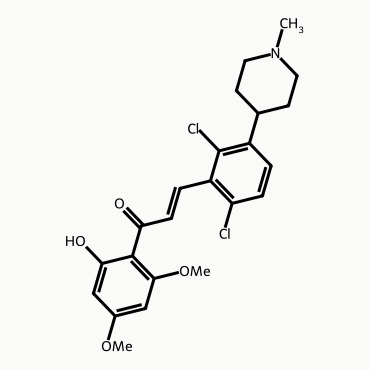 COc1cc(O)c(C(=O)C=Cc2c(Cl)ccc(C3CCN(C)CC3)c2Cl)c(OC)c1